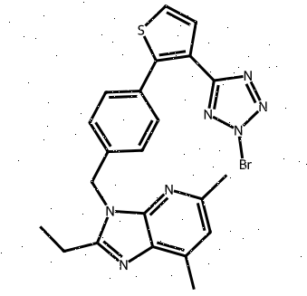 CCc1nc2c(C)cc(C)nc2n1Cc1ccc(-c2sccc2-c2nnn(Br)n2)cc1